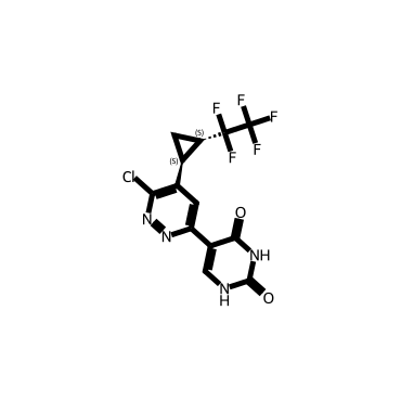 O=c1[nH]cc(-c2cc([C@H]3C[C@@H]3C(F)(F)C(F)(F)F)c(Cl)nn2)c(=O)[nH]1